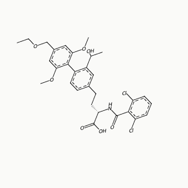 CCOCc1cc(OC)c(-c2ccc(CC[C@H](NC(=O)c3c(Cl)cccc3Cl)C(=O)O)cc2C(C)O)c(OC)c1